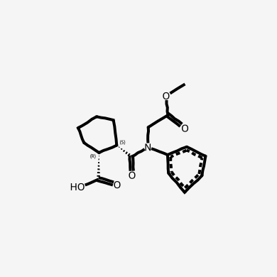 COC(=O)CN(C(=O)[C@H]1CCCC[C@H]1C(=O)O)c1ccccc1